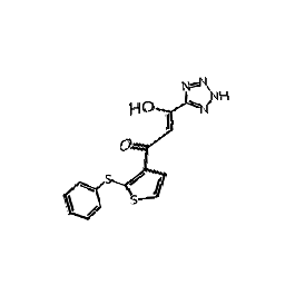 O=C(C=C(O)c1nn[nH]n1)c1ccsc1Sc1ccccc1